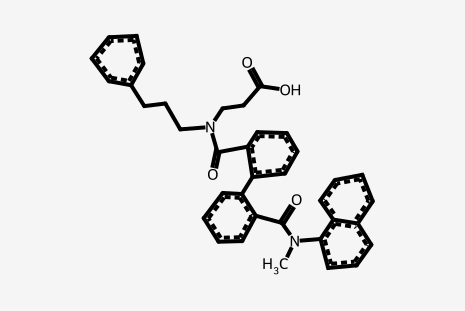 CN(C(=O)c1ccccc1-c1ccccc1C(=O)N(CCCc1ccccc1)CCC(=O)O)c1cccc2ccccc12